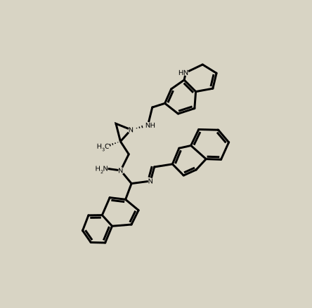 C[C@]1(CN(N)C(/N=C/c2ccc3ccccc3c2)c2ccc3ccccc3c2)C[N@]1NCc1ccc2c(c1)NCC=C2